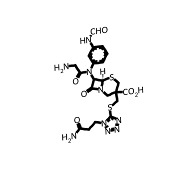 NCC(=O)N(c1cccc(NC=O)c1)C1C(=O)N2CC(CSc3nnnn3CCC(N)=O)(C(=O)O)CS[C@H]12